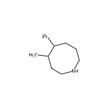 CC(C)C1CCCNCCC1C